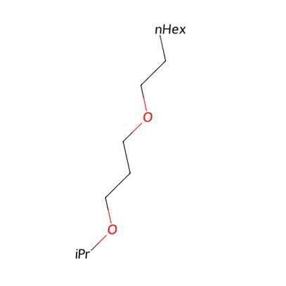 CCCCCCCCOCCCOC(C)C